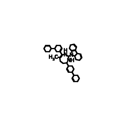 C/C1=C(\C2=CCCC(C3C=CCCC3)C2)NC(N2C3=C(C=CCC3)C3C=CCCC32)NC(C2C=CC(C3C=CCCC3)CC2)CC1